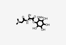 COC1C(O)C(O)C(O)C(O)C1OC(=O)[C@@H](NC(=O)CN(C)C)C(C)C